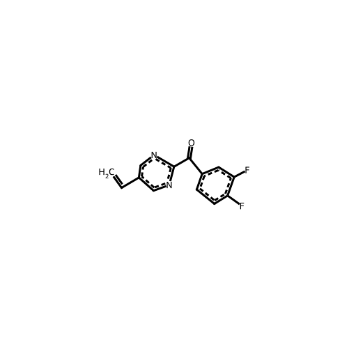 C=Cc1cnc(C(=O)c2ccc(F)c(F)c2)nc1